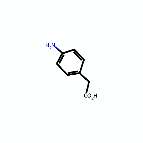 Nc1ccc(C[13C](=O)O)cc1